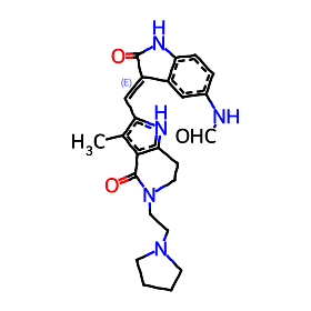 Cc1c(/C=C2/C(=O)Nc3ccc(NC=O)cc32)[nH]c2c1C(=O)N(CCN1CCCC1)CC2